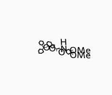 COc1ccc(NC(=O)/C=C(\C)c2cc3cccc(OC(c4ccccc4)c4ccccc4)c3o2)cc1OC